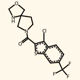 O=C(c1sc2cc(C(F)(F)F)ccc2c1Cl)N1CCC2(COCN2)C1